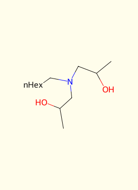 CCCCCCCN(CC(C)O)CC(C)O